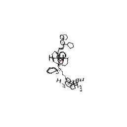 CC(C)(C)[Si](C)(C)OCCCCC(=C=C1C[C@H]2CC[C@](/C=C/[C@@H](OC3CCCCO3)C3CCCC3)(O[C@H]3CCCCO3)[C@H]2C1)Sc1ccccc1